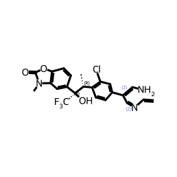 C=C/N=C\C(=C/N)c1ccc([C@@H](C)[C@@](O)(c2ccc3oc(=O)n(C)c3c2)C(F)(F)F)c(Cl)c1